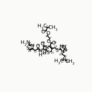 CC(C)C(=O)OCCOC(=O)C1=C(CSc2nnnn2CCN(C)C)CS[C@H]2[C@H](NC(=O)Cc3csc(N)n3)C(=O)N12